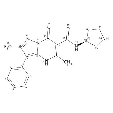 Cc1[nH]c2c(-c3ccccc3)c(C(F)(F)F)nn2c(=O)c1C(=O)N[C@H]1CCNC1